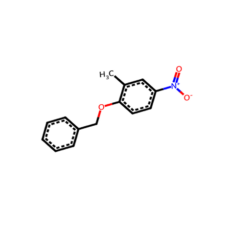 Cc1cc([N+](=O)[O-])ccc1OCc1ccccc1